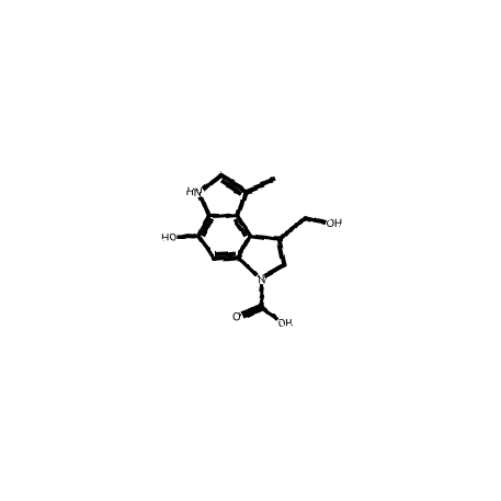 Cc1c[nH]c2c(O)cc3c(c12)C(CO)CN3C(=O)O